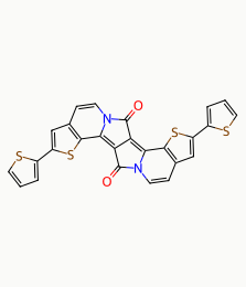 O=C1C2=C3c4sc(-c5cccs5)cc4C=CN3C(=O)C2=C2c3sc(-c4cccs4)cc3C=CN12